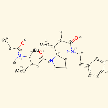 CCC(C)C(C(CC(=O)N1CCCC1C(OC)C(C)C(=O)NCCc1ccccc1)OC)N(C)C(=O)CC(C)C